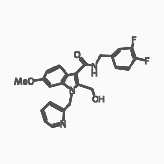 COc1ccc2c(C(=O)NCc3ccc(F)c(F)c3)c(CO)n(Cc3ccccn3)c2c1